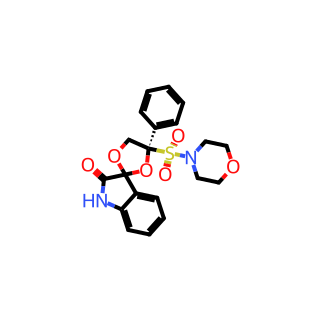 O=C1Nc2ccccc2C12OC[C@@](c1ccccc1)(S(=O)(=O)N1CCOCC1)O2